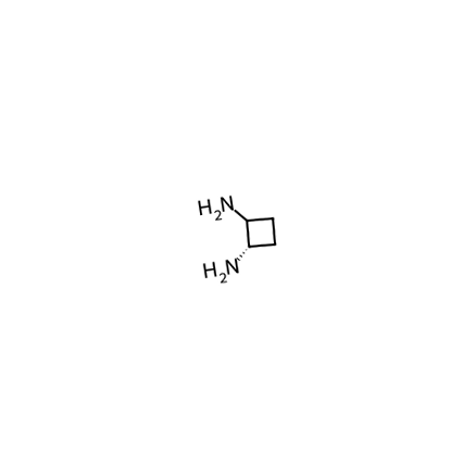 NC1CC[C@@H]1N